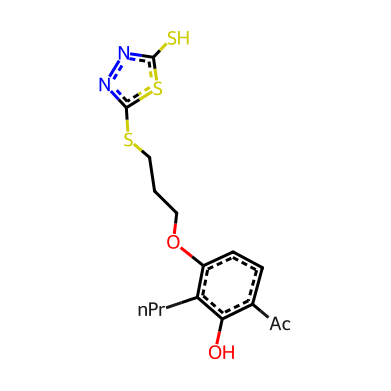 CCCc1c(OCCCSc2nnc(S)s2)ccc(C(C)=O)c1O